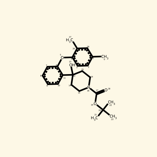 Cc1ccc(Oc2ccccc2C2(O)CCN(C(=O)OC(C)(C)C)CC2)c(C)c1